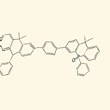 CC1(C)c2ccccc2C(c2ccccc2)c2ccc(-c3ccc(-c4ccc5c(c4)P(=O)(c4ccccc4)c4ccccc4C5(C)C)cc3)cc21